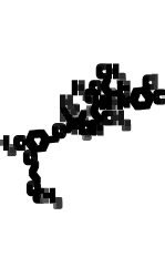 CC[C@H](C)[C@@H](CNc1ccc(Cl)c(Cl)c1)NC(=O)[C@@H](C[C@H](O)[C@@H](N)COCc1ccc(C)c(OCCCOC)c1)C(C)C